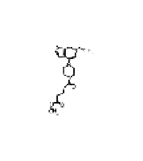 CCN1C=C(N2CCN(C(=O)CCCC(=O)OC)CC2)c2ccsc2C1